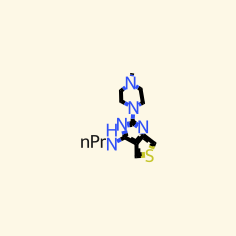 CCCNc1nc(N2CCN(C)CC2)nc2cscc12